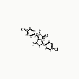 O=C1CC(c2ccc(Cl)cc2)=C2C(=O)NC(c3ccc(Cl)cc3)=C12